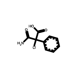 NC(=O)C(Cl)(C(=O)O)c1ccccc1